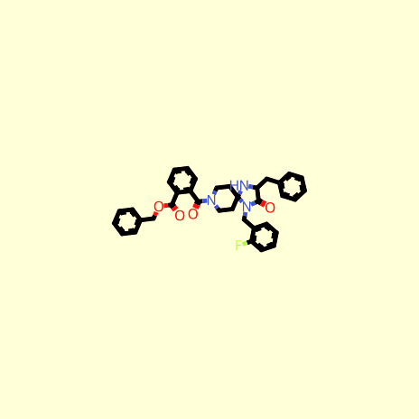 O=C(OCc1ccccc1)c1ccccc1C(=O)N1CCC2(CC1)NC(Cc1ccccc1)C(=O)N2Cc1ccccc1F